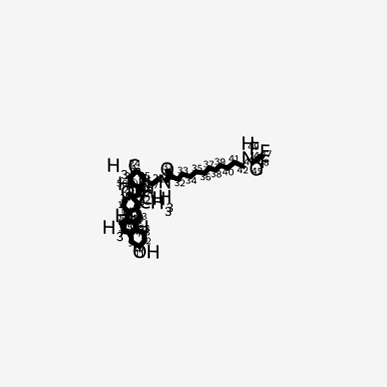 CC1=C2C[C@H]3[C@@H](CC=C4C[C@@H](O)CC[C@@]43C)[C@@H]2CC[C@]12O[C@@H]1C[C@H](C)CN(CCNC(=O)CCCCCCCCCCCNC(=O)C(F)(F)F)[C@H]1[C@H]2C